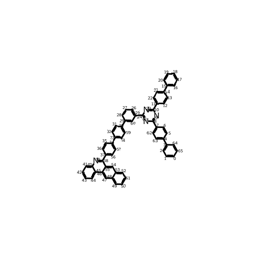 c1ccc(-c2ccc(-c3nc(-c4ccc(-c5ccccc5)cc4)nc(-c4cccc(-c5ccc(-c6ccc(-c7nc8ccccc8c8cc9ccccc9cc78)cc6)cc5)c4)n3)cc2)cc1